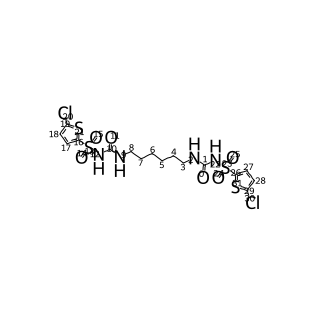 O=C(NCCCCCCNC(=O)NS(=O)(=O)c1ccc(Cl)s1)NS(=O)(=O)c1ccc(Cl)s1